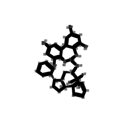 FC(F)(F)[C@H](CP1[C@@H](c2ccccc2)CC[C@@H]1c1ccccc1)Op1oc2c(Br)cc(Br)cc2c2cc(Br)cc(Br)c2o1